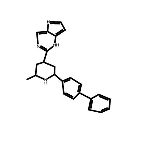 CC1CC(c2ncc3nccc-3[nH]2)CC(c2ccc(-c3ccccc3)cc2)N1